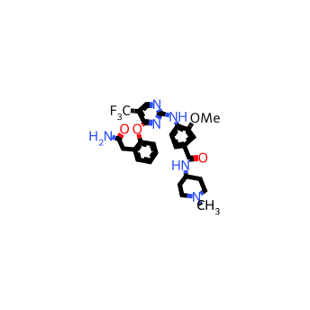 COc1cc(C(=O)NC2CCN(C)CC2)ccc1Nc1ncc(C(F)(F)F)c(Oc2ccccc2CC(N)=O)n1